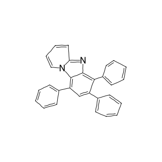 c1ccc(-c2cc(-c3ccccc3)c3c(nc4ccccn43)c2-c2ccccc2)cc1